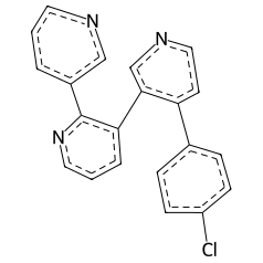 Clc1ccc(-c2ccncc2-c2cccnc2-c2cccnc2)cc1